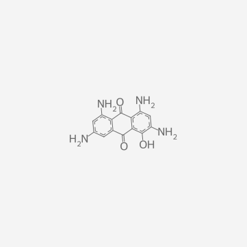 Nc1cc(N)c2c(c1)C(=O)c1c(O)c(N)cc(N)c1C2=O